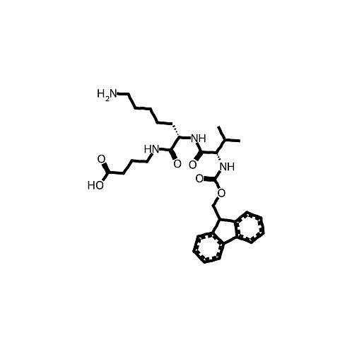 CC(C)[C@H](NC(=O)OCC1c2ccccc2-c2ccccc21)C(=O)N[C@@H](CCCCCN)C(=O)NCCCC(=O)O